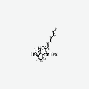 CC=CC=CC=CC(O)C(CCCCCC)c1cccc(O)c1O